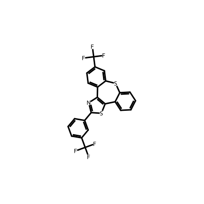 FC(F)(F)c1cccc(-c2nc3c(s2)-c2ccccc2Sc2cc(C(F)(F)F)ccc2-3)c1